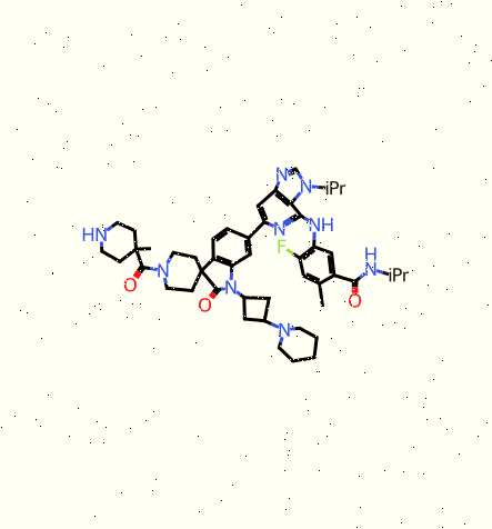 Cc1cc(F)c(Nc2nc(-c3ccc4c(c3)N(C3CC(N5CCCCC5)C3)C(=O)C43CCN(C(=O)C4(C)CCNCC4)CC3)cc3ncn(C(C)C)c23)cc1C(=O)NC(C)C